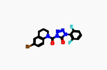 O=C(N1CCCc2cc(Br)ccc21)n1nnn(-c2c(F)cccc2F)c1=O